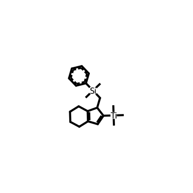 C[Si](C)(CC1[C]([Ti]([CH3])([CH3])[CH3])=CC2=C1CCCC2)c1ccccc1